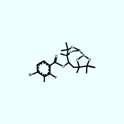 Cc1c(Br)ccc(C(=O)OC2CC3(C)OB(OC3(C)C)B3OC(C)(C)C2(C)O3)c1F